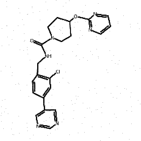 O=C(NCc1ccc(-c2cncnc2)cc1Cl)N1CCC(Oc2ncccn2)CC1